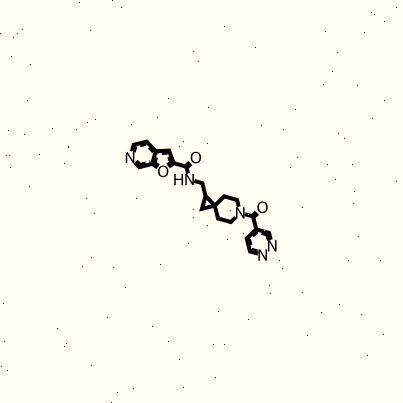 O=C(NCC1CC12CCN(C(=O)c1ccnnc1)CC2)c1cc2ccncc2o1